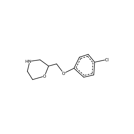 Clc1ccc(OCC2CNCCO2)cc1